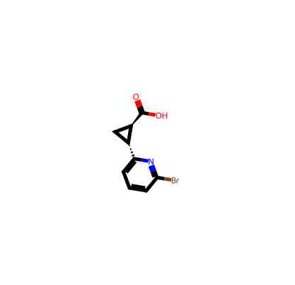 O=C(O)[C@@H]1C[C@H]1c1cccc(Br)n1